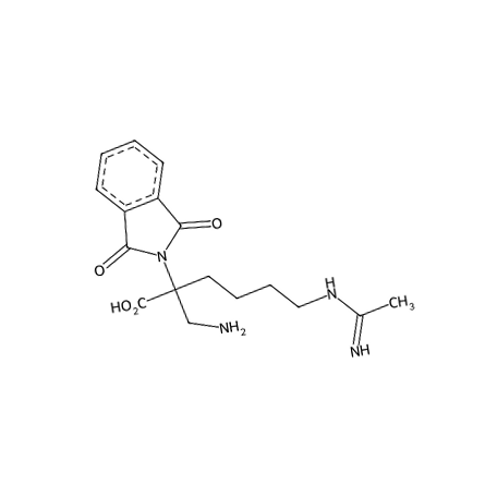 CC(=N)NCCCCC(CN)(C(=O)O)N1C(=O)c2ccccc2C1=O